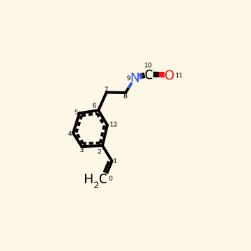 C=Cc1cccc(CCN=C=O)c1